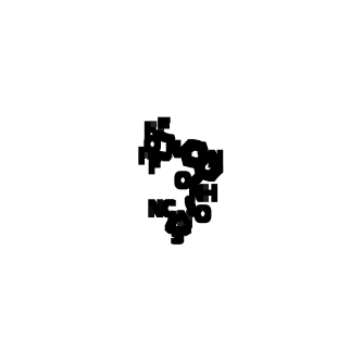 N#C[C@@H]1CSCN1C(=O)CNC(=O)c1ccnc2ccc(N3CC(F)(F)OC(F)(F)C3)cc12